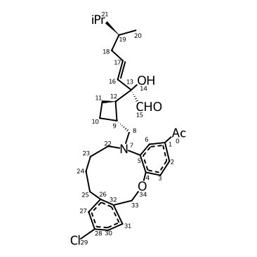 CC(=O)c1ccc2c(c1)N(C[C@@H]1CC[C@H]1[C@@](O)(C=O)/C=C/C[C@H](C)C(C)C)CCCCc1cc(Cl)ccc1CO2